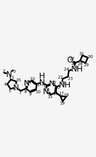 CN(C)[C@H]1CCN(Cc2ccc(Nc3ncc(C4CC4)c(NCCCNC(=O)C4CCC4)n3)cn2)C1